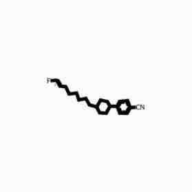 N#Cc1ccc(C2CCC(CCCCCC/C=C/F)CC2)cc1